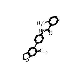 Cc1ccccc1C(=O)Nc1ccc(-c2cc3c(cc2C)OCC3)cc1